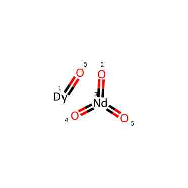 [O]=[Dy].[O]=[Nd](=[O])=[O]